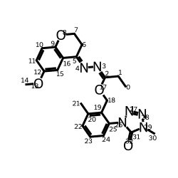 CC/C(=N/N=C1CCOc2ccc(OC)cc21)OCc1c(C)cccc1-n1nnn(C)c1=O